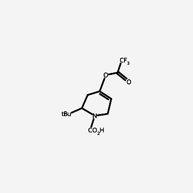 CC(C)(C)C1CC(OC(=O)C(F)(F)F)=CCN1C(=O)O